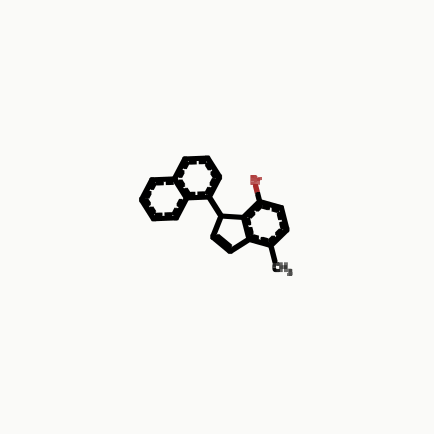 Cc1ccc(Br)c2c1C=CC2c1cccc2ccccc12